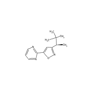 C[C@@H](c1cc(-c2ncccn2)on1)C(C)(C)C